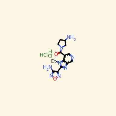 CCn1c(-c2nonc2N)nc2cncc(C(=O)N3CCC(N)C3)c21.Cl.Cl